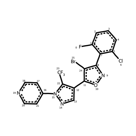 Fc1cccc(Cl)c1-c1noc(-c2cnn(-c3ccncc3)c2C(F)(F)F)c1Br